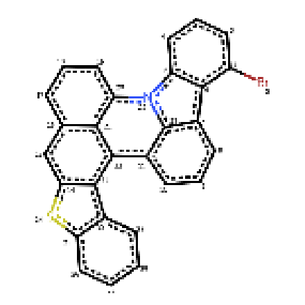 Brc1cccc2c1c1cccc3c4c5c(cc6cccc(c64)n2c13)sc1ccccc15